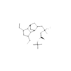 CCC1CC(CC)C2C3CC(CC3CC(C)(O)CC(=O)OC(C)(C)C)C12